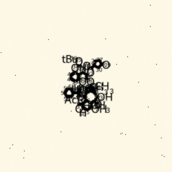 CC(=O)O[C@]12CO[C@H]1C[C@@H](O)[C@]1(C)C(=O)[C@@H](O)C3=C(C)[C@H](OC(=O)[C@@H](OC(=O)C4CCC(=O)C4)[C@H](NC(=O)OC(C)(C)C)c4ccccc4)C[C@](O)([C@H](OC(=O)c4ccccc4)[C@@H]21)C3(C)C